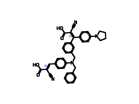 N#C/C(C(=O)O)=C(\c1ccc(N2CCCC2)cc1)c1cccc(CN(Cc2ccccc2)c2ccc(/C=C(\C#N)C(=O)O)cc2)c1